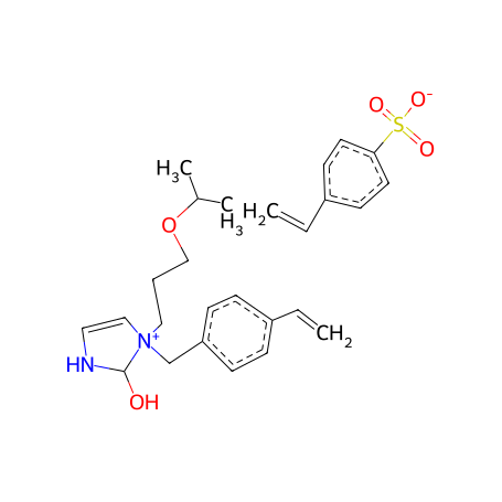 C=Cc1ccc(C[N+]2(CCCOC(C)C)C=CNC2O)cc1.C=Cc1ccc(S(=O)(=O)[O-])cc1